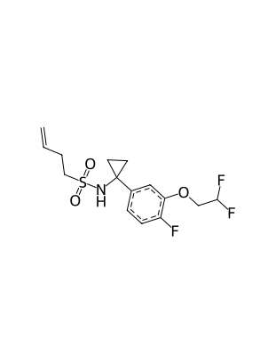 C=CCCS(=O)(=O)NC1(c2ccc(F)c(OCC(F)F)c2)CC1